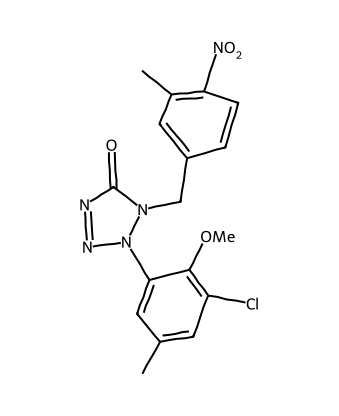 COc1c(Cl)cc(C)cc1-n1nnc(=O)n1Cc1ccc([N+](=O)[O-])c(C)c1